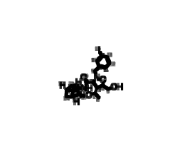 CC(O)[C@@H]1C(CO)ON(Cc2cccc(I)c2)[C@@H]1C(=O)N[C@H]1C[C@@H]2C[C@H](C1C)C2(C)C